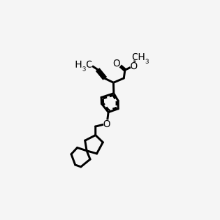 CC#CC(CC(=O)OC)c1ccc(OCC2CCC3(CCCCC3)C2)cc1